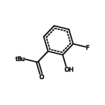 CC(C)(C)C(=O)c1cccc(F)c1O